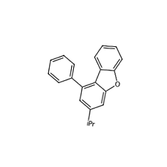 CC(C)c1cc(-c2ccccc2)c2c(c1)oc1ccccc12